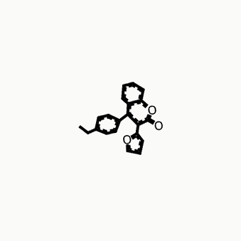 CCc1ccc(-c2c(-c3ccco3)c(=O)oc3ccccc23)cc1